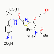 CCCCCCN(C(=O)CCCC)C(CC(OCCCO)c1nc(C(=O)NC(Cc2ccc(NCC(=O)O)cc2)CC(C)(C)C(=O)O)cs1)C(C)C